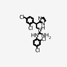 NC(=NCC(c1ncc[nH]1)c1ccc(Cl)cc1Cl)Nc1ccc(Cl)cc1Cl